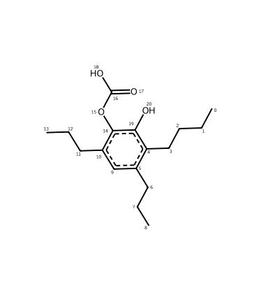 CCCCc1c(CCC)cc(CCC)c(OC(=O)O)c1O